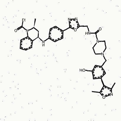 CCC(=O)N1c2ccccc2[C@H](Nc2ccc(-c3nnc(CNC(=O)N4CCN(Cc5cc(O)cc(-c6c(C)noc6C)c5)CC4)o3)cc2)C[C@@H]1C